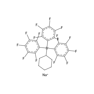 Fc1c(F)c(F)c([B-](c2c(F)c(F)c(F)c(F)c2F)(c2c(F)c(F)c(F)c(F)c2F)C2CCCCC2)c(F)c1F.[Na+]